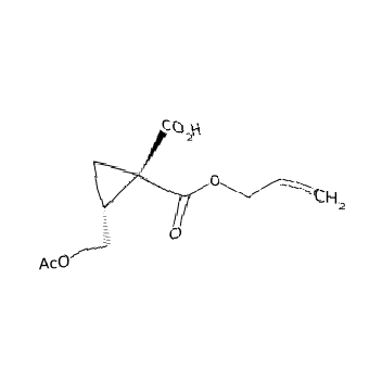 C=CCOC(=O)[C@@]1(C(=O)O)C[C@H]1COC(C)=O